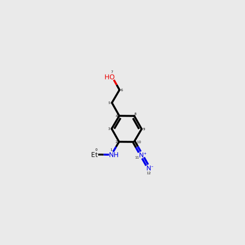 CCNC1C=C(CCO)C=CC1=[N+]=[N-]